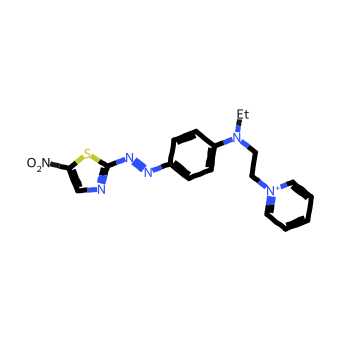 CCN(CC[n+]1ccccc1)c1ccc(N=Nc2ncc([N+](=O)[O-])s2)cc1